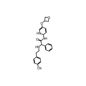 N#Cc1ccc(CCNC(C(=O)NC2C=CC(OC3COC3)=CN2)c2ccccc2)cc1